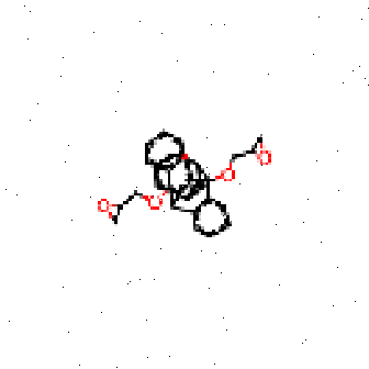 c1ccc2c(c1)C1c3ccccc3C2(OCC2CO2)C2c3ccccc3C1(OCC1CO1)c1ccccc12